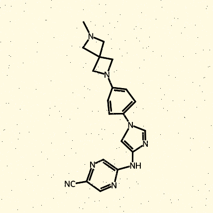 CN1CC2(C1)CN(c1ccc(-n3cnc(Nc4cnc(C#N)cn4)c3)cc1)C2